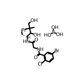 CC(C)C[C@@H](NC(=O)CNC(=O)c1cc(Br)ccc1Cl)C(O)C(C)(C)CO.OB(O)O